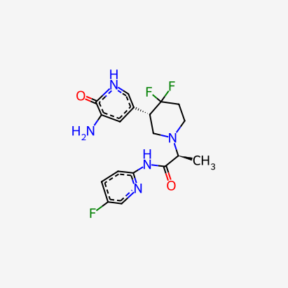 C[C@@H](C(=O)Nc1ccc(F)cn1)N1CCC(F)(F)[C@@H](c2c[nH]c(=O)c(N)c2)C1